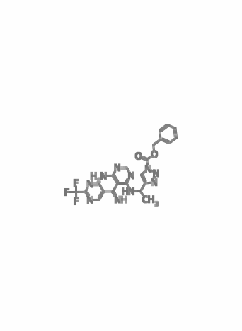 CC(Nc1ncnc(N)c1C(=N)c1cnc(C(F)(F)F)nc1)c1cn(C(=O)OCc2ccccc2)nn1